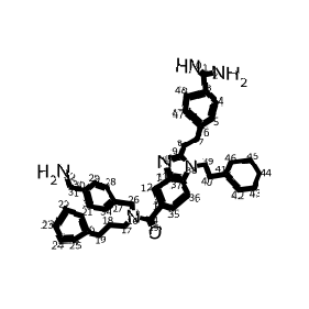 N=C(N)c1ccc(CCc2nc3cc(C(=O)N(CCCc4ccccc4)Cc4ccc(CN)cc4)ccc3n2CCC2CCCCC2)cc1